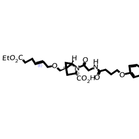 CCOC(=O)CC/C=C/COC[C@@]12C[C@@H]1N(C(=O)CNC(=O)CCCOc1ccccc1)[C@H](C(=O)O)C2